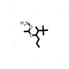 CCCC(OC(C)O[SiH3])C(C)C(C)(C)C